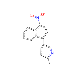 Cc1ccc(-c2ccc([N+](=O)[O-])c3ccccc23)cn1